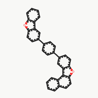 c1ccc2c(c1)ccc1oc3ccc(-c4ccc(-c5ccc6oc7ccccc7c6c5)cc4)cc3c12